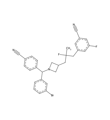 CC(F)(Cc1cc(F)cc(C#N)c1)CC1CN(C(c2ccc(C#N)cc2)c2cccc(Br)c2)C1